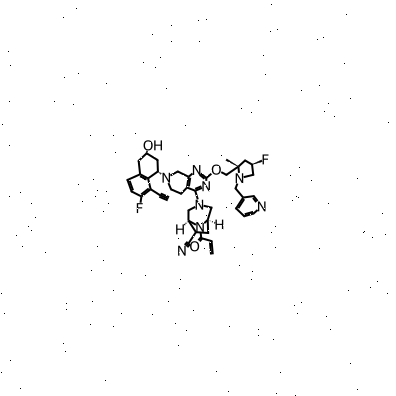 C#Cc1c(F)ccc2c1[C@@H](N1CCc3c(nc(OC[C@]4(C)C[C@@H](F)CN4Cc4cccnc4)nc3N3C[C@H]4CC(C#N)[C@@H](C3)N4C(=O)C=C)C1)C[C@@H](O)C2